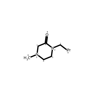 CC(C)CN1CCN(C)CC1=O